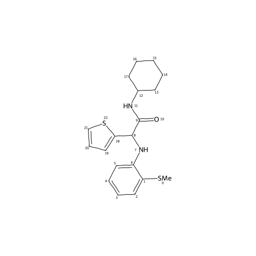 CSc1ccccc1NC(C(=O)NC1CCCCC1)c1cccs1